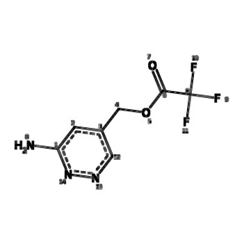 Nc1cc(COC(=O)C(F)(F)F)cnn1